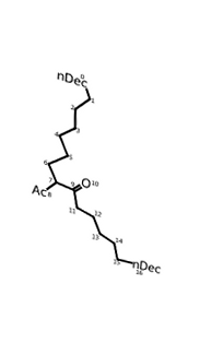 CCCCCCCCCCCCCCCCC(C(C)=O)C(=O)CCCCCCCCCCCCCCC